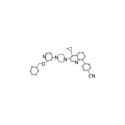 N#Cc1ccc(-c2cccc3c(C4CC4)c(N4CCN(c5ccnc(OCc6ccccc6)c5)CC4)cnc23)cc1